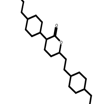 CCCC1CCC(C2CCC(CCC3CCC(CC)CC3)OC2=O)CC1